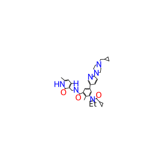 CCN(C(=O)C1CC1)c1cc(-c2ccc(N3CCN(CC4CC4)CC3)nc2)cc(C(=O)NCc2c(C)cc(C)[nH]c2=O)c1C